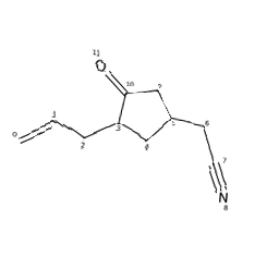 C=CCC1CC(CC#N)CC1=O